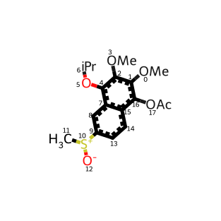 COc1c(OC)c(OC(C)C)c2cc([S+](C)[O-])ccc2c1OC(C)=O